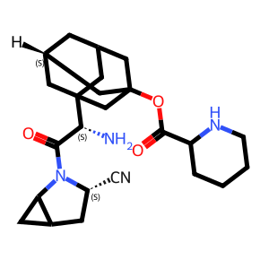 N#C[C@@H]1CC2CC2N1C(=O)[C@@H](N)C12CC3C[C@H](CC(OC(=O)C4CCCCN4)(C3)C1)C2